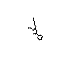 CCCCCC(=NO)OC(=O)c1ccccc1